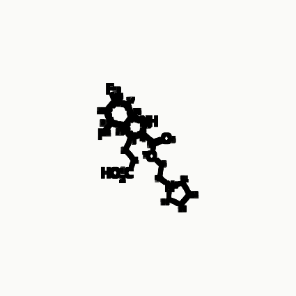 O=C(O)CCc1c(C(=O)OCCN2CCCC2)[nH]c2cc(F)cc(F)c12